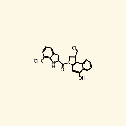 O=Cc1cccc2cc(C(=O)N3CC(CCl)c4c3cc(O)c3ccccc43)[nH]c12